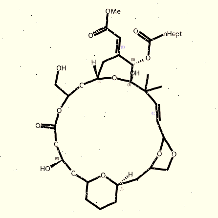 CCCCCCCC(=O)O[C@H]1/C(=C/C(=O)OC)C[C@H]2CC(CO)OC(=O)C[C@H](O)CC3CCC[C@H](CC4COC(/C=C/C(C)(C)[C@]1(O)O2)O4)O3